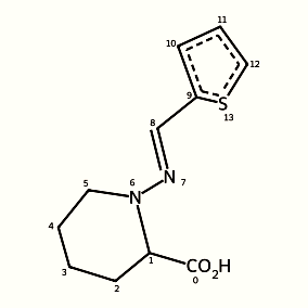 O=C(O)C1CCCCN1/N=C/c1cccs1